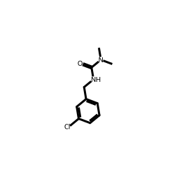 CN(C)C(=O)NCc1cccc(Cl)c1